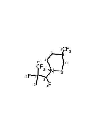 CC(F)(C(F)N1CCC(C(F)(F)F)CC1)C(F)(F)F